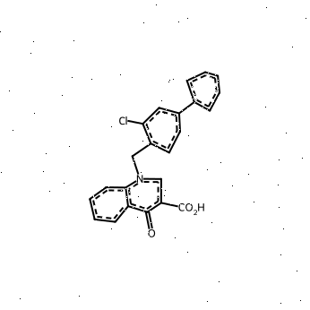 O=C(O)c1cn(Cc2ccc(-c3ccccc3)cc2Cl)c2ccccc2c1=O